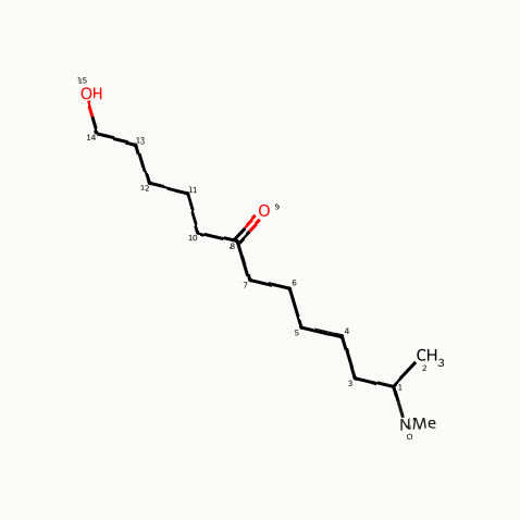 CNC(C)CCCCCC(=O)CCCCCO